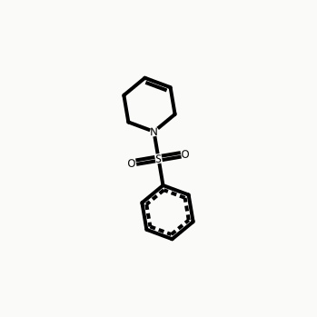 O=S(=O)(c1ccccc1)N1CC=CCC1